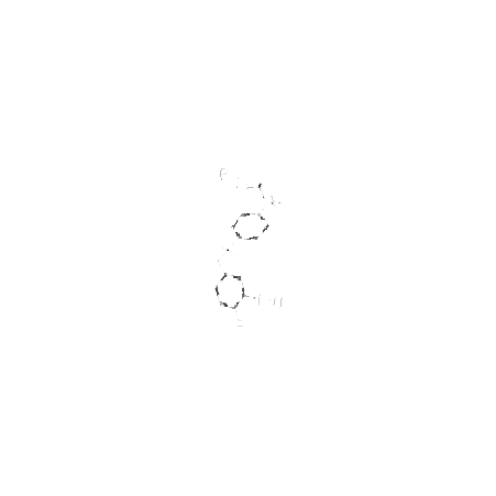 CN(C(=O)OC(C)(C)C)c1ccc(C(C)(C)Cc2ccc(F)c(C(C)(C)C)c2F)cc1